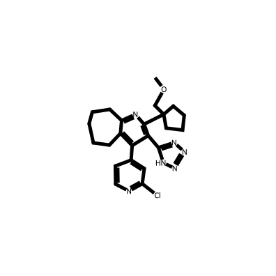 COCC1(c2nc3c(c(-c4ccnc(Cl)c4)c2-c2nnn[nH]2)CCCCC3)CCCC1